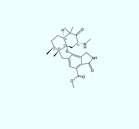 CN[C@@H]1C[C@@]23Oc4c(cc(C(=O)OC)c5c4CNC5=O)C[C@]2(C)[C@@H](C)CC[C@H]3C(C)(C)C1=O